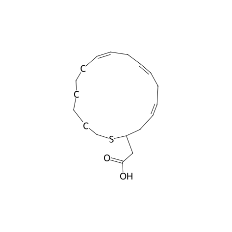 O=C(O)CC1CC=CCC=CCC=CCCCCCCS1